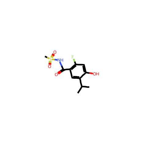 CC(C)c1cc(C(=O)NS(C)(=O)=O)c(F)cc1O